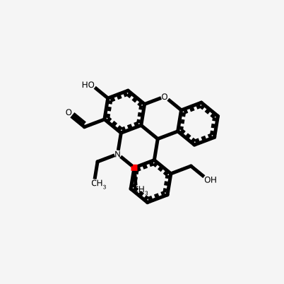 CCN(CC)c1c(C=O)c(O)cc2c1C(c1ccccc1CO)c1ccccc1O2